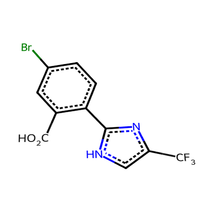 O=C(O)c1cc(Br)ccc1-c1nc(C(F)(F)F)c[nH]1